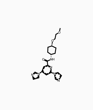 COCCO[C@H]1CC[C@H](NC(=O)c2cc(-n3ccnc3)cc(-n3ccnc3)n2)CC1